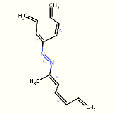 C=C\C=C/C=C(C)/N=N/C(/C=C\C=C)=C/C=C